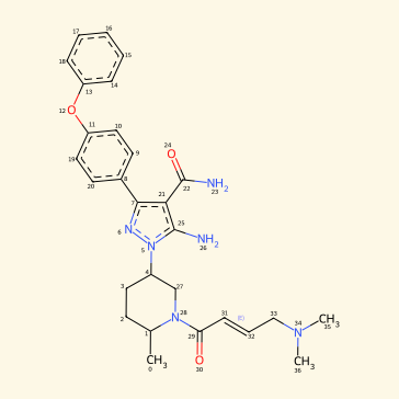 CC1CCC(n2nc(-c3ccc(Oc4ccccc4)cc3)c(C(N)=O)c2N)CN1C(=O)/C=C/CN(C)C